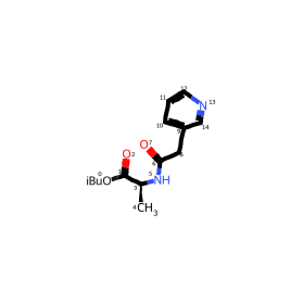 CC(C)COC(=O)[C@H](C)NC(=O)Cc1cccnc1